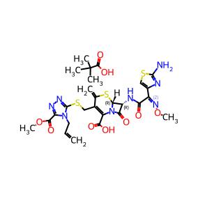 C=CCn1c(SCC2=C(C(=O)O)N3C(=O)[C@@H](NC(=O)/C(=N\OC)c4csc(N)n4)[C@H]3SC2=C)nnc1C(=O)OC.CC(C)(C)C(=O)O